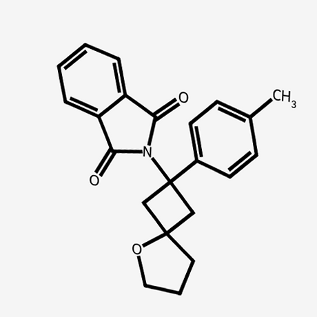 Cc1ccc(C2(N3C(=O)c4ccccc4C3=O)CC3(CCCO3)C2)cc1